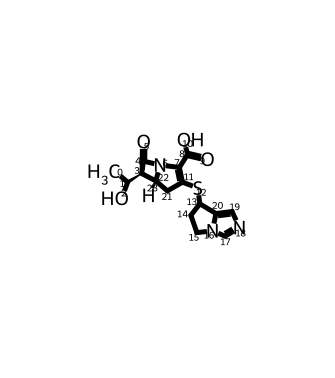 CC(O)[C@H]1C(=O)N2C(C(=O)O)=C(SC3CCn4cncc43)C[C@H]12